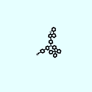 N#Cc1ccc(-c2ccc(N(c3ccc(-c4ccc5c6c(cccc46)-c4ccccc4O5)cc3)c3ccc4c(c3)C(c3ccccc3)(c3ccccc3)c3ccccc3-4)cc2)cc1